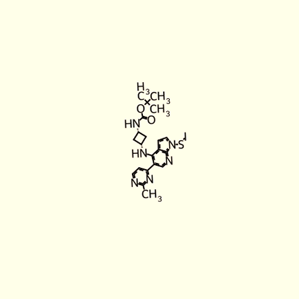 Cc1nccc(-c2cnc3c(ccn3SI)c2N[C@H]2C[C@@H](NC(=O)OC(C)(C)C)C2)n1